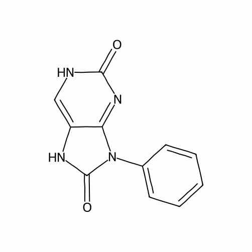 O=c1nc2c(c[nH]1)[nH]c(=O)n2-c1ccccc1